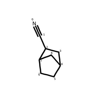 N#CC1CC2C[CH]C1C2